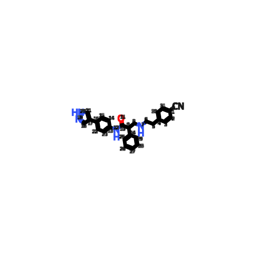 N#Cc1ccc(CCNCC(C(=O)Nc2ccc(-c3cn[nH]c3)cc2)c2ccccc2)cc1